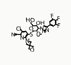 COC1C(Sc2cc(Cl)c(C#N)nc2N2CC3(COC3)C2)OC(CO)C(O)C1n1cc(-c2cc(F)c(F)c(F)c2)nn1